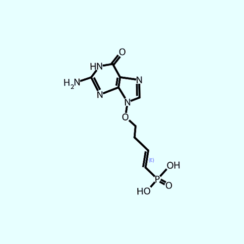 Nc1nc2c(ncn2OCC/C=C/P(=O)(O)O)c(=O)[nH]1